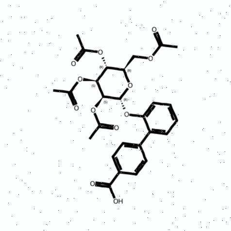 CC(=O)OC[C@H]1O[C@H](Oc2ccccc2-c2ccc(C(=O)O)cc2)[C@@H](OC(C)=O)[C@@H](OC(C)=O)[C@@H]1OC(C)=O